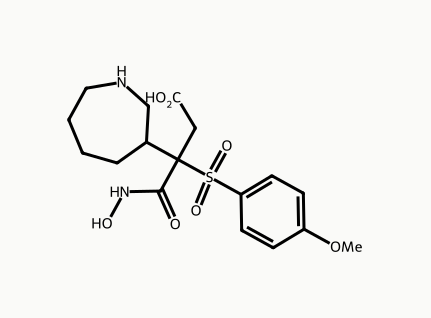 COc1ccc(S(=O)(=O)C(CC(=O)O)(C(=O)NO)C2CCCCNC2)cc1